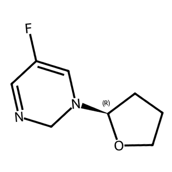 FC1=CN([C@H]2CCCO2)CN=C1